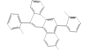 Cc1ccccc1-c1cc2c3ccc(Cl)cc3c(-c3ccccc3C)cc2c2ccccc12